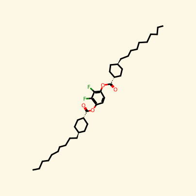 CCCCCCCCCC[C@H]1CC[C@H](C(=O)Oc2ccc(OC(=O)[C@H]3CC[C@H](CCCCCCCCCC)CC3)c(F)c2F)CC1